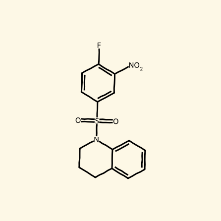 O=[N+]([O-])c1cc(S(=O)(=O)N2CCCc3ccccc32)ccc1F